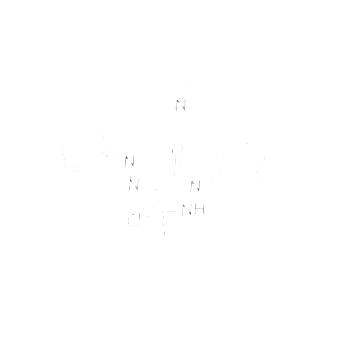 CC1(Cl)NN(c2ccccc2)C(=O)C1N=Nc1ccccc1.CN(C)C